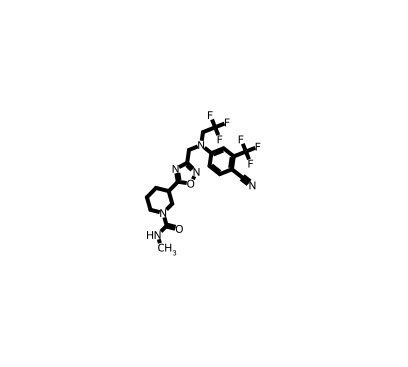 CNC(=O)N1CCCC(c2nc(CN(CC(F)(F)F)c3ccc(C#N)c(C(F)(F)F)c3)no2)C1